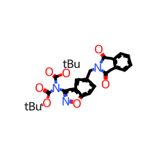 CC(C)(C)OC(=O)N(C(=O)OC(C)(C)C)c1noc2ccc(CN3C(=O)c4ccccc4C3=O)cc12